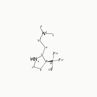 CN(C)CCC1NCC[C@@H]1C(F)(F)F